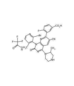 Cc1ccnc(C(C)C)c1-n1c(=O)nc(N2CCNCC2C)c2cc(C#N)c(-c3cc(C(=O)O)ccc3F)nc21.O=C(O)C(F)(F)F